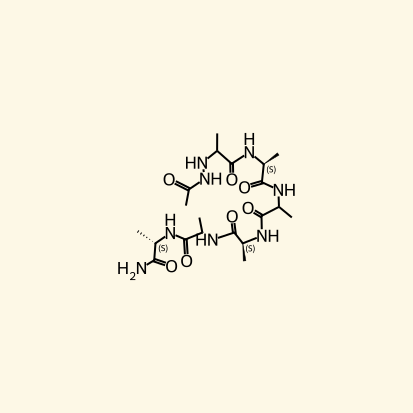 CC(=O)NNC(C)C(=O)N[C@@H](C)C(=O)NC(C)C(=O)N[C@@H](C)C(=O)NC(C)C(=O)N[C@@H](C)C(N)=O